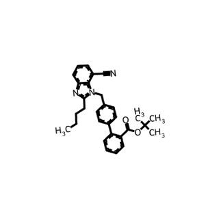 CCCCc1nc2cccc(C#N)c2n1Cc1ccc(-c2ccccc2C(=O)OC(C)(C)C)cc1